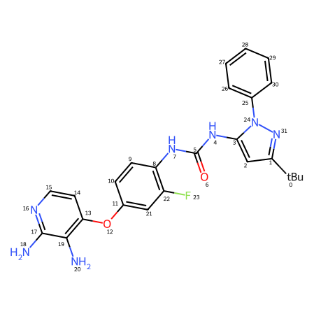 CC(C)(C)c1cc(NC(=O)Nc2ccc(Oc3ccnc(N)c3N)cc2F)n(-c2ccccc2)n1